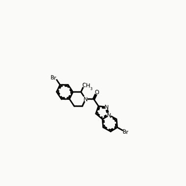 CC1c2cc(Br)ccc2CCN1C(=O)c1cc2ccc(Br)cn2n1